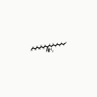 CCCCCCCCCC(N)CCCCCCCC.I